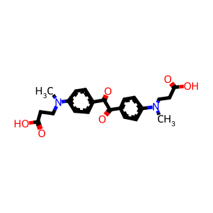 CN(CCC(=O)O)c1ccc(C(=O)C(=O)c2ccc(N(C)CCC(=O)O)cc2)cc1